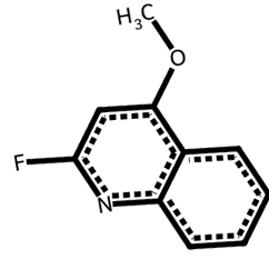 COc1cc(F)nc2ccccc12